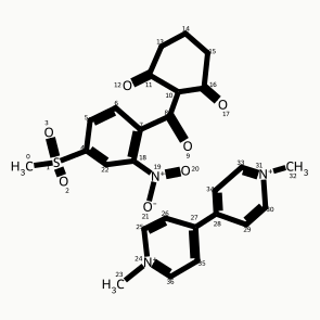 CS(=O)(=O)c1ccc(C(=O)C2C(=O)CCCC2=O)c([N+](=O)[O-])c1.C[n+]1ccc(-c2cc[n+](C)cc2)cc1